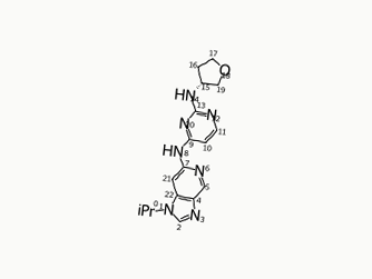 CC(C)n1cnc2cnc(Nc3ccnc(N[C@@H]4CCOC4)n3)cc21